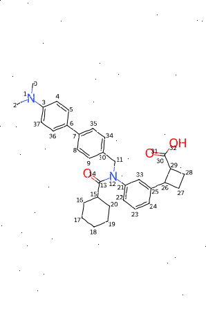 CN(C)c1ccc(-c2ccc(CN(C(=O)C3CCCCC3)c3cccc(C4CCC4C(=O)O)c3)cc2)cc1